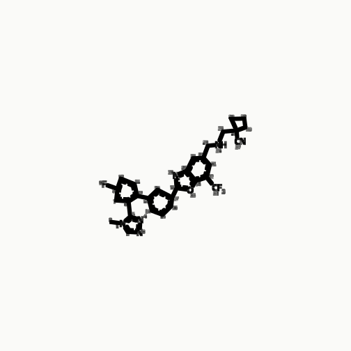 Cn1cnnc1-c1cc(F)ccc1-c1cccc(-c2nc3cc(CNCC4(C#N)CCC4)cc(C(F)(F)F)c3o2)c1